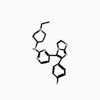 CCN1CCC(Nc2nccc(-c3c(-c4ccc(F)cc4)nc4n3CCS4)n2)CC1